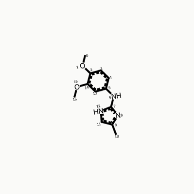 COc1ccc(Nc2nc(C)c[nH]2)cc1OC